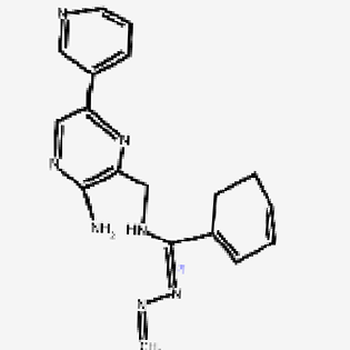 C=N/N=C(\NCc1nc(-c2cccnc2)cnc1N)C1=CC=CCC1